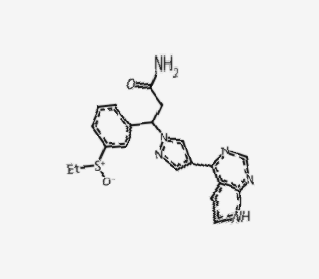 CC[S+]([O-])c1cccc(C(CC(N)=O)n2cc(-c3ncnc4[nH]ccc34)cn2)c1